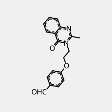 Cc1nc2ccccc2c(=O)n1CCOc1ccc(C=O)cc1